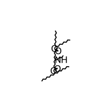 CCCCCCCC(CCCCCCC)OC(=O)CCCC(CCCC(=O)OC(CCCCCCC)CCCCCCC)NCCC